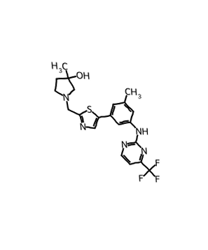 Cc1cc(Nc2nccc(C(F)(F)F)n2)cc(-c2cnc(CN3CCC(C)(O)C3)s2)c1